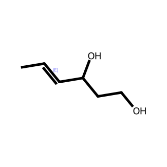 C/C=C/C(O)CCO